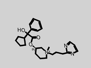 C[N+]1(CCCc2ncccn2)CCC[C@@H](OC(=O)C(O)(c2ccccc2)C2CCCC2)C1